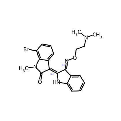 CN(C)CCO/N=C1/C(=C2/C(=O)N(C)c3c(Br)cccc32)Nc2ccccc21